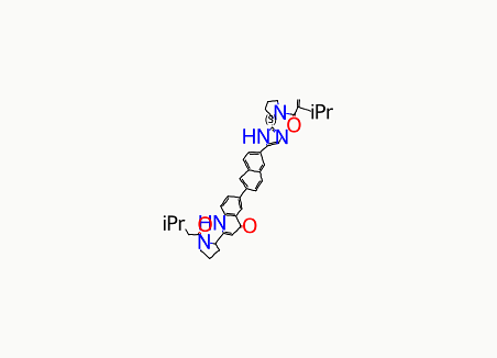 C=C(C(=O)N1CCC[C@H]1c1ncc(-c2ccc3cc(-c4ccc5[nH]c(C6CCCN6C(=O)CC(C)C)cc(=O)c5c4)ccc3c2)[nH]1)C(C)C